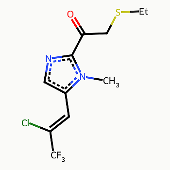 CCSCC(=O)c1ncc(C=C(Cl)C(F)(F)F)n1C